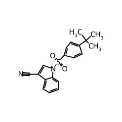 CC(C)(C)c1ccc(S(=O)(=O)n2cc(C#N)c3ccccc32)cc1